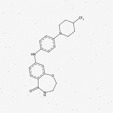 O=C1NCCOc2cc(Nc3ccc(N4CCC(C(F)(F)F)CC4)cc3)ccc21